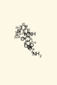 CCC1(OC(=O)CCN)C(=O)OCC2=C1CC1=C(C2=O)N2Cc3c(cccc3[Si](C)(C)CC(C)C)C=C2N1